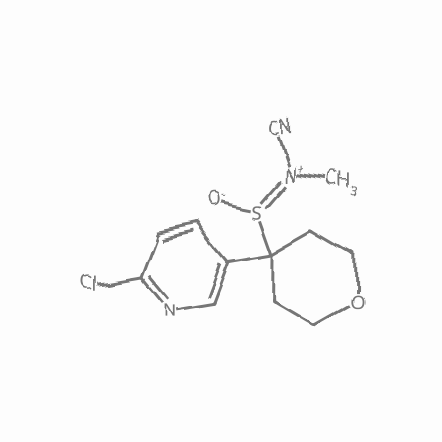 C[N+](C#N)=S([O-])C1(c2ccc(Cl)nc2)CCOCC1